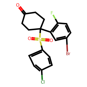 O=C1CCC(c2cc(Br)ccc2F)(S(=O)(=O)c2ccc(Cl)cc2)CC1